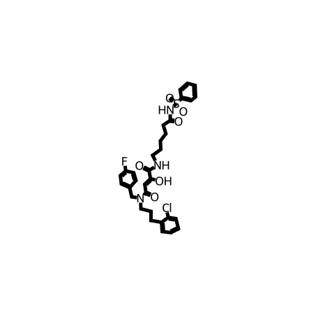 O=C(CCCCCNC(=O)/C(O)=C/C(=O)N(CCCc1ccccc1Cl)Cc1ccc(F)cc1)NS(=O)(=O)c1ccccc1